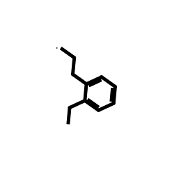 [CH2]CCc1ccccc1CC